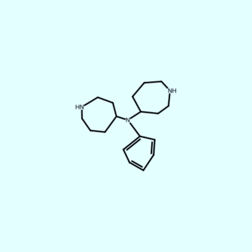 c1ccc(N(C2CCCNCC2)C2CCCNCC2)cc1